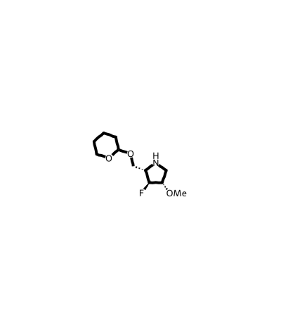 CO[C@H]1CN[C@@H](COC2CCCCO2)[C@@H]1F